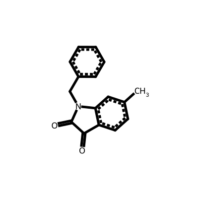 Cc1ccc2c(c1)N(Cc1ccccc1)C(=O)C2=O